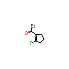 CCC(=O)C1=C(F)CCC1